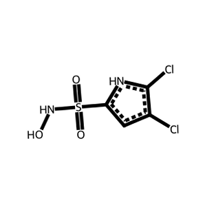 O=S(=O)(NO)c1cc(Cl)c(Cl)[nH]1